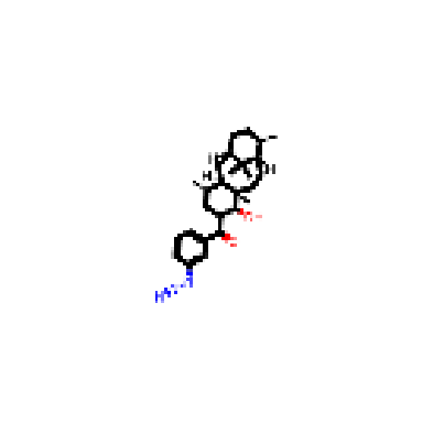 C[C@@H]1CC(C(=O)c2cccc(N=[N+]=[N-])c2)C(O)[C@@]2(C)CC[C@H]3[C@H](C)CC[C@@H](C[C@H]12)C3(C)C